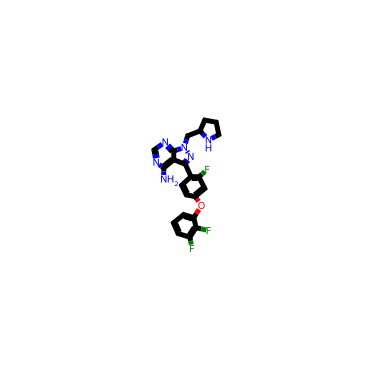 Nc1ncnc2c1c(-c1ccc(Oc3cccc(F)c3F)cc1F)nn2CC1CCCN1